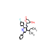 CC[C@@H](C)c1cc(-c2ccccc2)nc(-c2ccc(F)cc2)c1/C=C/[C@@H]1C[C@@H](O)CC(=O)O1